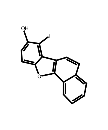 Oc1ccc2oc3c4ccccc4ccc3c2c1I